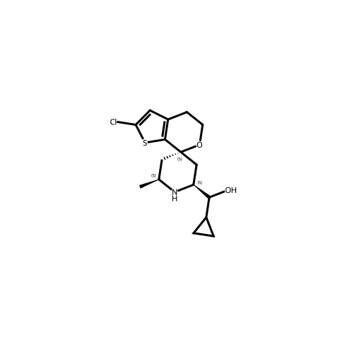 C[C@H]1C[C@@]2(C[C@@H](C(O)C3CC3)N1)OCCc1cc(Cl)sc12